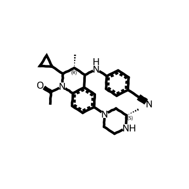 CC(=O)N1c2ccc(N3CCN[C@@H](C)C3)cc2C(Nc2ccc(C#N)cc2)[C@@H](C)C1C1CC1